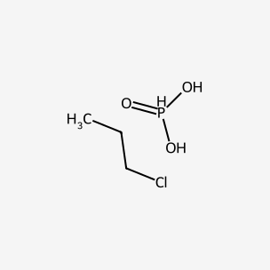 CCCCl.O=[PH](O)O